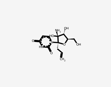 C=CC[C@@]1(n2ccc(=O)[nH]c2=O)O[C@H](CO)[C@@H](O)[C@@]1(N)O